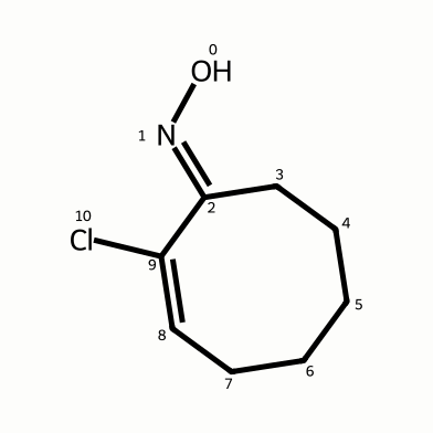 ON=C1CCCCC/C=C\1Cl